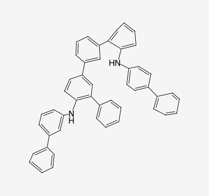 c1ccc(-c2ccc(Nc3ccccc3-c3cccc(-c4ccc(Nc5cccc(-c6ccccc6)c5)c(-c5ccccc5)c4)c3)cc2)cc1